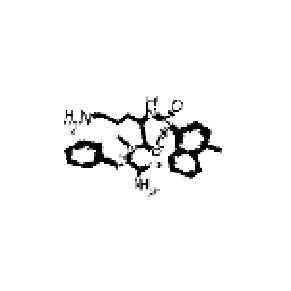 Cc1ccc(S(=O)(=O)NC(CCCN)C(=O)N(C)[C@@H](Cc2ccccc2)C(N)=O)c2ccccc12